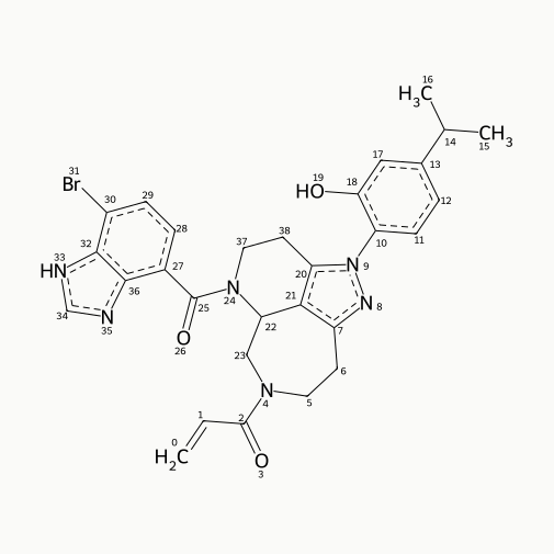 C=CC(=O)N1CCc2nn(-c3ccc(C(C)C)cc3O)c3c2C(C1)N(C(=O)c1ccc(Br)c2[nH]cnc12)CC3